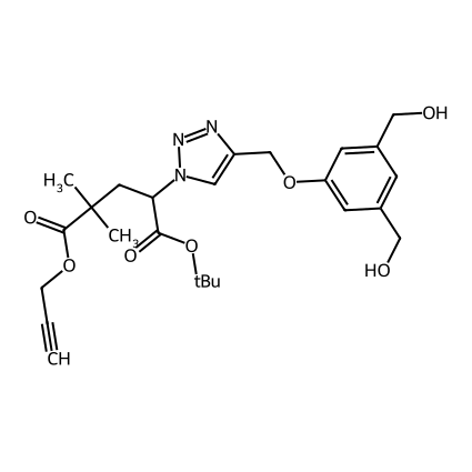 C#CCOC(=O)C(C)(C)CC(C(=O)OC(C)(C)C)n1cc(COc2cc(CO)cc(CO)c2)nn1